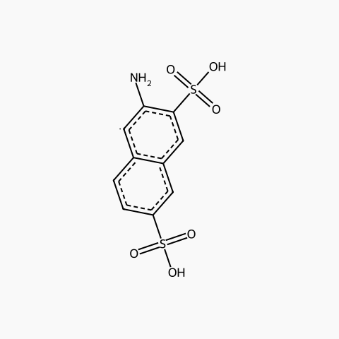 Nc1[c]c2ccc(S(=O)(=O)O)cc2cc1S(=O)(=O)O